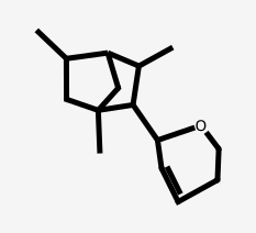 CC1CC2(C)CC1C(C)C2C1C=CCCO1